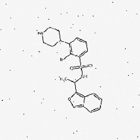 CC(NS(=O)(=O)c1cccc(C2CCNCC2)c1Br)c1occ2ccccc12